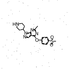 Cc1nc(Oc2ccc(S(C)(=O)=O)cc2)c2cnn(C3CCNCC3)c2n1